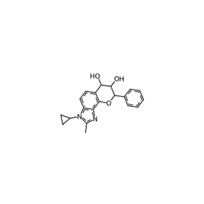 Cc1nc2c3c(ccc2n1C1CC1)C(O)C(O)C(c1ccccc1)O3